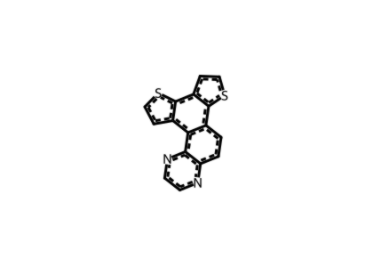 c1cnc2c(ccc3c4sccc4c4sccc4c32)n1